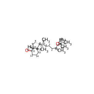 C[C@H](CCC[C@H](C)[C@H]1CC[C@H]2C(=O)CCC[C@]12C)O[Si](C)(C)C(C)(C)C